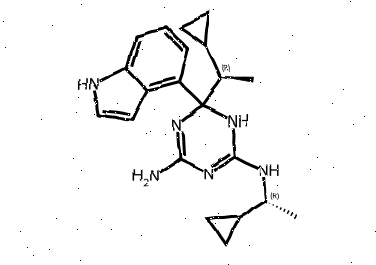 C[C@H](C1CC1)C1(c2cccc3[nH]ccc23)N=C(N)N=C(N[C@H](C)C2CC2)N1